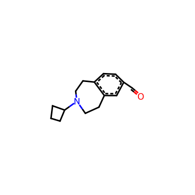 O=Cc1ccc2c(c1)CCN(C1CCC1)CC2